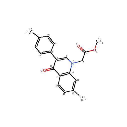 COC(=O)Cn1cc(-c2ccc(C)cc2)c(=O)c2ccc(C)cc21